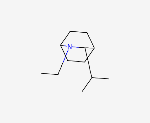 CCN1C2CCC(CC2)C1C(C)C